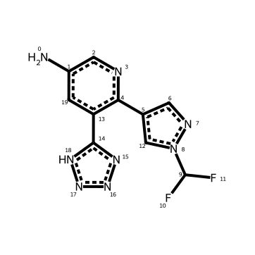 Nc1cnc(-c2cnn(C(F)F)c2)c(-c2nnn[nH]2)c1